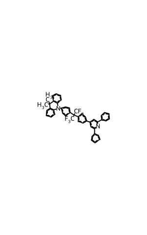 CC1(C)c2ccccc2N(c2ccc(C(c3ccc(-c4cc(-c5ccccc5)nc(-c5ccccc5)c4)cc3)(C(F)(F)F)C(F)(F)F)cc2)c2ccccc21